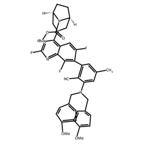 COc1ccc(CN(Cc2ccc(OC)cc2)c2cc(C)cc(-c3c(F)cc4c(N5C[C@H]6CC[C@@H](C5)N6C(=O)OC(C)(C)C)nc(F)nc4c3F)c2C#N)cc1